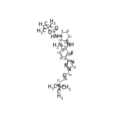 CC(C)(C)OC(=O)N[C@H]1CCC[C@@H](Nc2c(N)ccc(-c3ncn(COCC[Si](C)(C)C)n3)c2F)C1